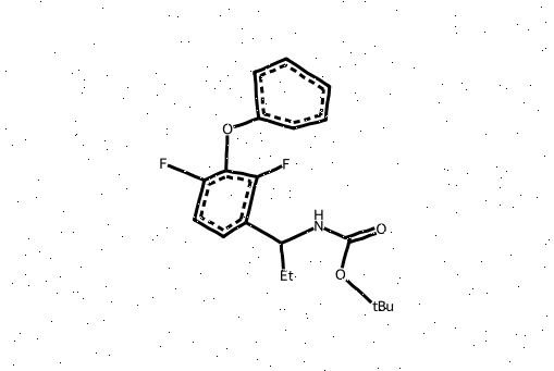 CCC(NC(=O)OC(C)(C)C)c1ccc(F)c(Oc2ccccc2)c1F